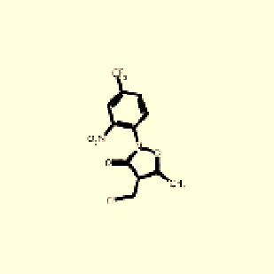 CC1ON(c2ccc(C(F)(F)F)cc2[N+](=O)[O-])C(=O)C1CCl